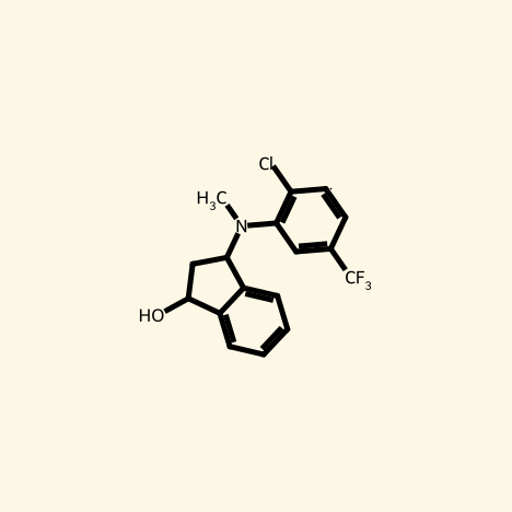 CN(c1cc(C(F)(F)F)c[c]c1Cl)C1CC(O)c2ccccc21